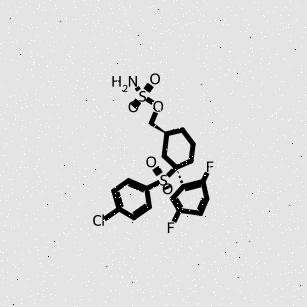 NS(=O)(=O)OC[C@H]1CCC[C@@](c2cc(F)ccc2F)(S(=O)(=O)c2ccc(Cl)cc2)C1